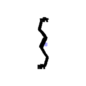 C[CH]CC/C=C/CCCC